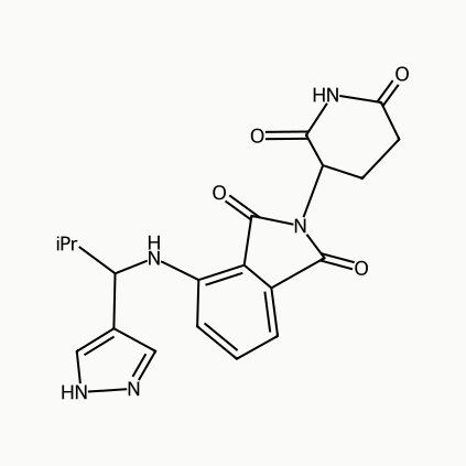 CC(C)C(Nc1cccc2c1C(=O)N(C1CCC(=O)NC1=O)C2=O)c1cn[nH]c1